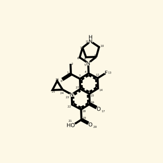 C=C(C)c1c(N2CC3CC2CN3)c(F)cc2c(=O)c(C(=O)O)cn(C3CC3)c12